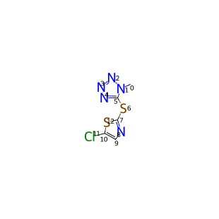 Cn1nnnc1Sc1ncc(Cl)s1